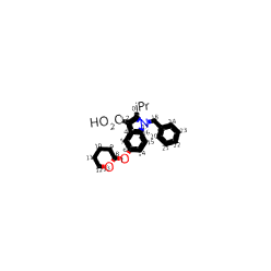 CC(C)c1c(C(=O)O)c2cc(OC3CCCCO3)ccc2n1Cc1ccccc1